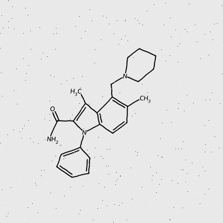 Cc1ccc2c(c(C)c(C(N)=O)n2-c2ccccc2)c1CN1CCCCC1